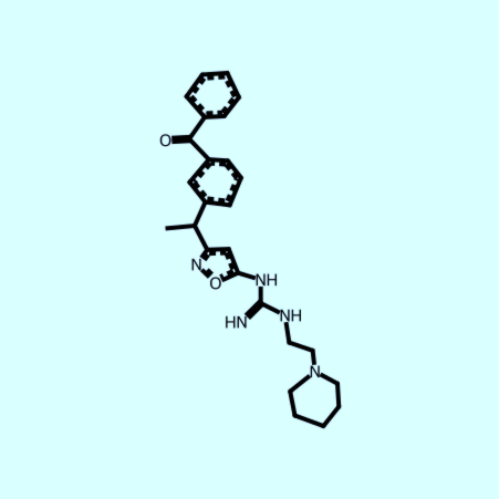 CC(c1cccc(C(=O)c2ccccc2)c1)c1cc(NC(=N)NCCN2CCCCC2)on1